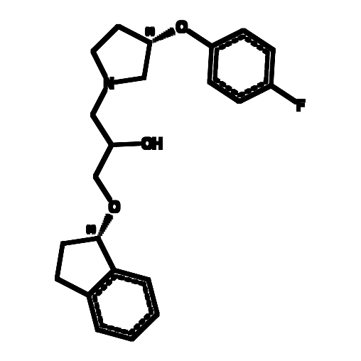 OC(CO[C@H]1CCc2ccccc21)CN1CC[C@H](Oc2ccc(F)cc2)C1